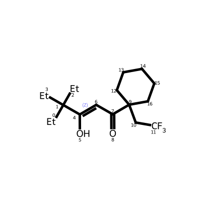 CCC(CC)(CC)/C(O)=C/C(=O)C1(CC(F)(F)F)CCCCC1